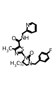 Cc1nc(N2C(=O)N(Cc3ccc(F)cc3)C[C@@H]2C)sc1C(=O)NCc1ccccn1